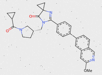 COc1cc2cc(-c3ccc(C4=NC5(CC5)C(=O)N4C[C@@H]4CCN(C(=O)C5CC5)C4)cc3)ccc2cn1